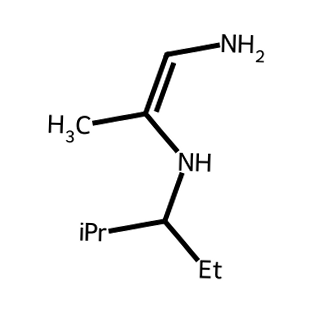 CCC(N/C(C)=C\N)C(C)C